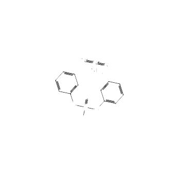 O=P(O)(Oc1ccccc1)Oc1ccccc1.[N-]=[N+]=[N-].[NH4+]